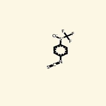 [O-][S+](c1ccc(N=C=S)cc1)C(F)(F)F